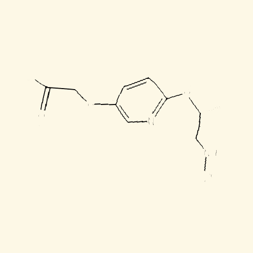 CCC(=O)COc1ccc(O[C@H](C)CNC(C)C)nc1